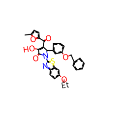 CCOc1ccc2nc(N3C(=O)C(O)=C(C(=O)c4ccc(C)o4)C3c3cccc(OCc4ccccc4)c3)sc2c1